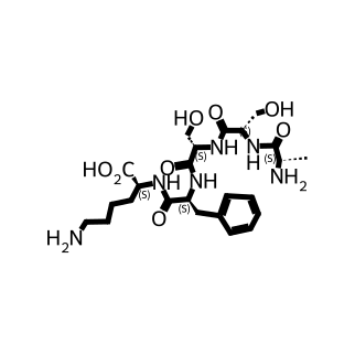 C[C@H](N)C(=O)N[C@@H](CO)C(=O)N[C@@H](CO)C(=O)N[C@@H](Cc1ccccc1)C(=O)N[C@@H](CCCCN)C(=O)O